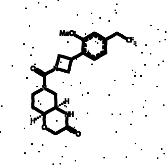 COc1cc(CC(F)(F)F)ccc1C1CN(C(=O)N2CC[C@@H]3OCC(=O)N[C@@H]3C2)C1